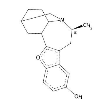 C[C@H]1Cc2c(oc3ccc(O)cc23)C2CC3CCC2N1C3